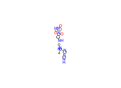 O=C1CCC(N2C(=O)c3ccc(NC[C@H]4C[C@H](n5cc(-c6cc(N7CCNCC7)ccn6)c(C6CC6)n5)C4)cc3C2=O)C(=O)N1